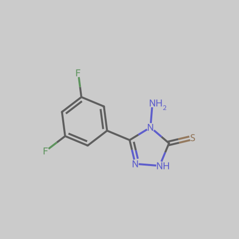 Nn1c(-c2cc(F)cc(F)c2)n[nH]c1=S